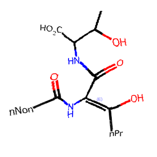 CCCCCCCCCC(=O)N/C(C(=O)NC(C(=O)O)C(C)O)=C(/O)CCC